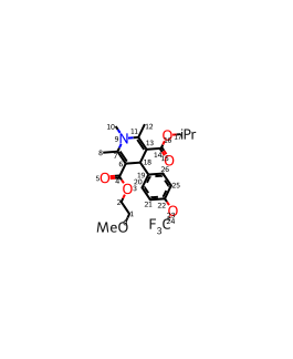 COCCOC(=O)C1=C(C)N(C)C(C)=C(C(=O)OC(C)C)C1c1ccc(OC(F)(F)F)cc1